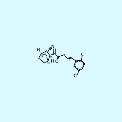 N#CN1[C@H]2CC[C@@H]1[C@H](NC(=O)C/C=C/c1cc(Cl)ccc1Cl)C2